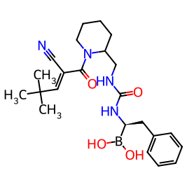 CC(C)(C)C=C(C#N)C(=O)N1CCCCC1CNC(=O)N[C@@H](Cc1ccccc1)B(O)O